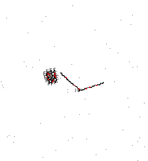 CCCCCCCCCCCCCCCCCC[PH+](C)CCCCCCCCCCCCCCCCCC.Fc1c(F)c(F)c([B-](c2c(F)c(F)c(F)c(F)c2F)(c2c(F)c(F)c(F)c(F)c2F)c2c(F)c(F)c(F)c(F)c2F)c(F)c1F